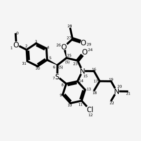 COc1ccc([C@@H]2Sc3ccc(Cl)cc3N(CC(C)CN(C)C)C(=O)[C@@H]2OC(C)=O)cc1